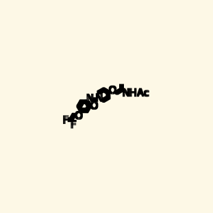 CC(=O)N[C@@H](C)COC1CCN(c2nc3ccc(OCC(F)F)cc3o2)CC1